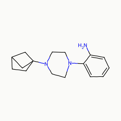 Nc1ccccc1N1CCN(C23CCC(C2)C3)CC1